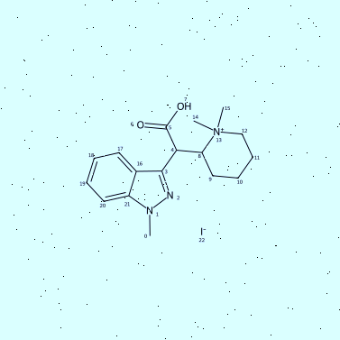 Cn1nc(C(C(=O)O)C2CCCC[N+]2(C)C)c2ccccc21.[I-]